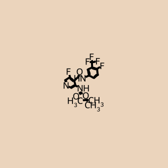 CC(C)(C)OC(=O)Nc1cncc(F)c1C(=O)Nc1ccc(F)c(C(F)(F)F)c1